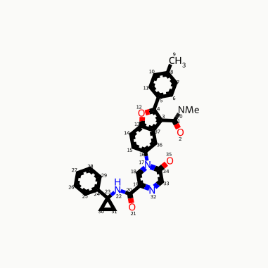 CNC(=O)c1c(-c2ccc(C)cc2)oc2ccc(-n3cc(C(=O)NC4(c5ccccc5)CC4)ncc3=O)cc12